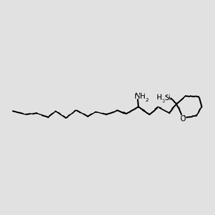 CCCCCCCCCCCCC(N)CCCC1([SiH3])CCCCO1